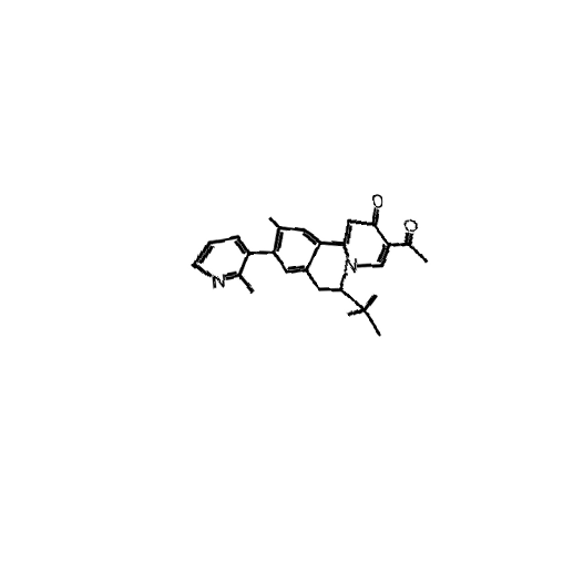 CC(=O)c1cn2c(cc1=O)-c1cc(C)c(-c3cccnc3C)cc1CC2C(C)(C)C